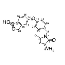 CC1CC(N)C(=O)N1Cc1ccc(Oc2ccc3c(c2)COB3O)cc1